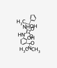 C[C@H](Nc1c(Nc2cccc(C(=O)N(C)C)c2O)c(=O)c1=O)[C@H](O)c1ccccc1